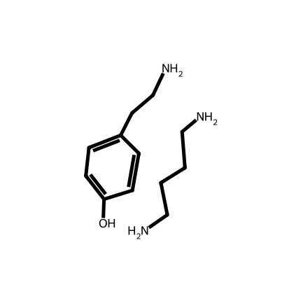 NCCCCN.NCCc1ccc(O)cc1